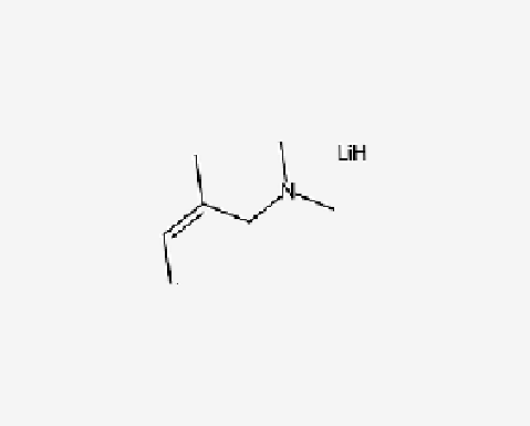 [CH2]C=C(C)CN(C)C.[LiH]